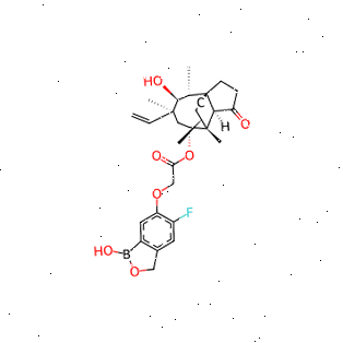 C=C[C@]1(C)C[C@@H](OC(=O)COc2cc3c(cc2F)COB3O)[C@]2(C)[C@H](C)CC[C@]3(CCC(=O)[C@H]32)[C@@H](C)[C@@H]1O